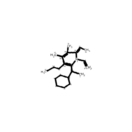 C=CN1C(C(C)C2CCCCC2)=C(CCC)C(C)=C(C)/C1=C/C